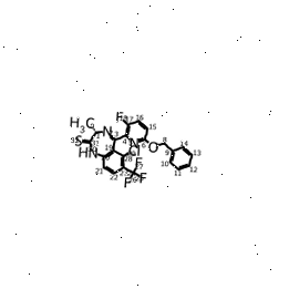 C[C@@H]1N=C(c2nc(OCc3ccccc3)ccc2F)c2c(ccc(C(F)(F)F)c2Cl)NC1=S